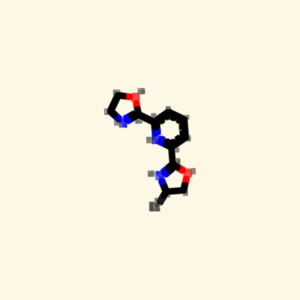 CCC1COC(c2cccc(C3=NCCO3)n2)=N1